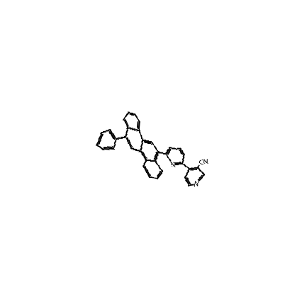 N#Cc1cnccc1-c1cccc(-c2cc3c4ccccc4c(-c4ccccc4)cc3c3ccccc23)n1